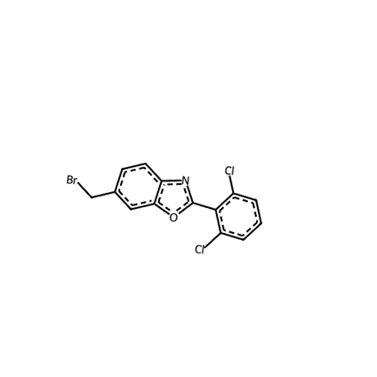 Clc1cccc(Cl)c1-c1nc2ccc(CBr)cc2o1